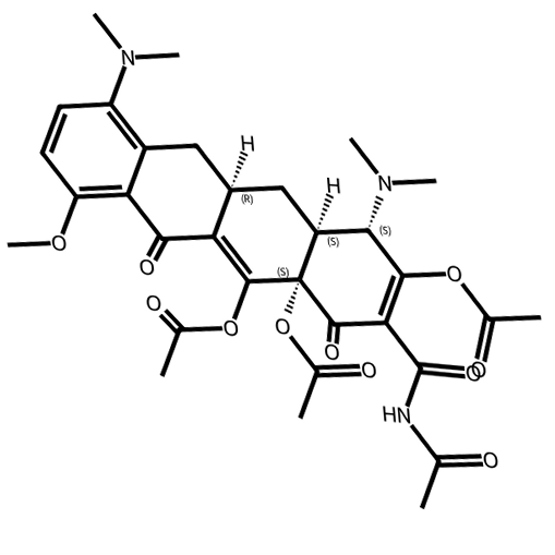 COc1ccc(N(C)C)c2c1C(=O)C1=C(OC(C)=O)[C@]3(OC(C)=O)C(=O)C(C(=O)NC(C)=O)=C(OC(C)=O)[C@@H](N(C)C)[C@@H]3C[C@@H]1C2